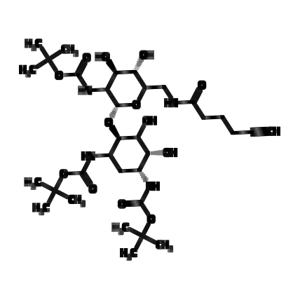 C#CCCCC(=O)NCC1O[C@H](O[C@@H]2C(NC(=O)OC(C)(C)C)C[C@@H](NC(=O)OC(C)(C)C)[C@@H](O)C2O)C(NC(=O)OC(C)(C)C)[C@@H](O)[C@@H]1O